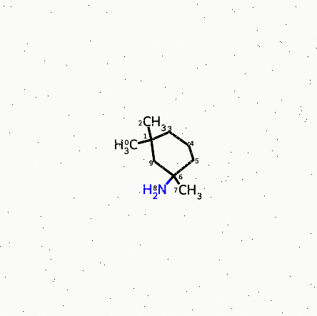 CC1(C)C[CH]CC(C)(N)C1